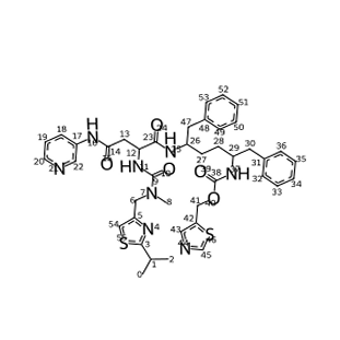 CC(C)c1nc(CN(C)C(=O)NC(CC(=O)Nc2cccnc2)C(=O)NC(CCC(Cc2ccccc2)NC(=O)OCc2cncs2)Cc2ccccc2)cs1